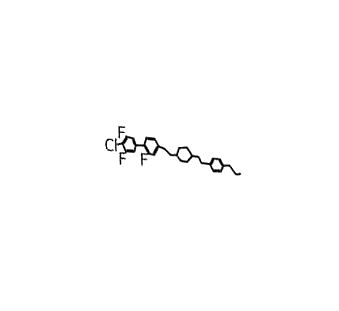 CCCc1ccc(CCC2CCC(CCc3ccc(-c4cc(F)c(Cl)c(F)c4)c(F)c3)CC2)cc1